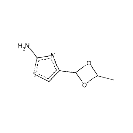 CC1OC(c2csc(N)n2)O1